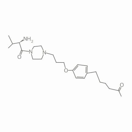 CC(=O)CCCCc1ccc(OCCCN2CCN(C(=O)[C@H](N)C(C)C)CC2)cc1